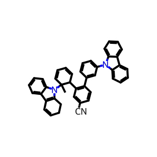 CC1(n2c3c(c4ccccc42)C=CCC3)C=CC=CC1c1cc(C#N)ccc1-c1cccc(-n2c3ccccc3c3ccccc32)c1